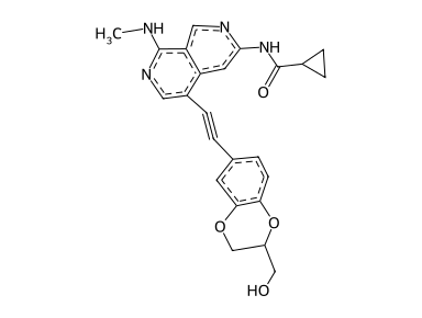 CNc1ncc(C#Cc2ccc3c(c2)OCC(CO)O3)c2cc(NC(=O)C3CC3)ncc12